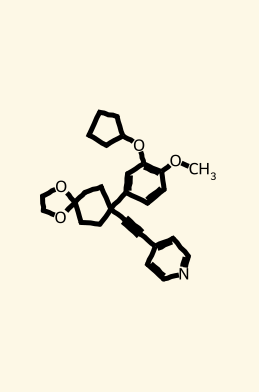 COc1ccc(C2(C#Cc3ccncc3)CCC3(CC2)OCCO3)cc1OC1CCCC1